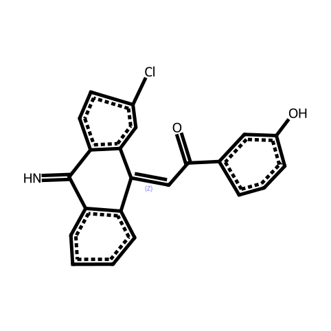 N=C1c2ccccc2/C(=C/C(=O)c2cccc(O)c2)c2cc(Cl)ccc21